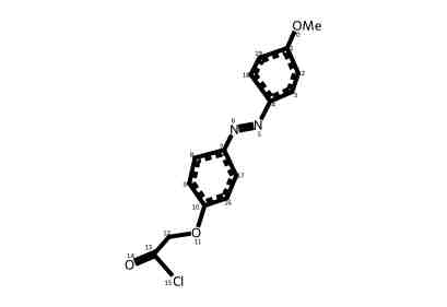 COc1ccc(N=Nc2ccc(OCC(=O)Cl)cc2)cc1